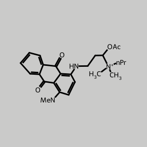 CCC[N+](C)(C)C(CCNc1ccc(NC)c2c1C(=O)c1ccccc1C2=O)OC(C)=O